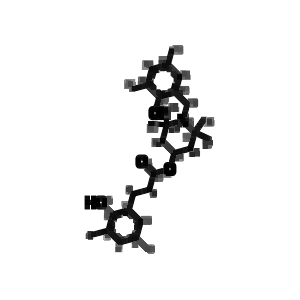 Cc1cc(C)c(O)c(CCC(=O)OC2CC(C)(C)N(Cc3cc(C)cc(C)c3O)C(C)(C)C2)c1